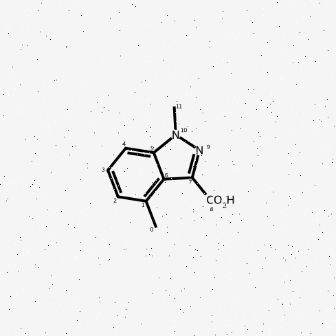 Cc1cccc2c1c(C(=O)O)nn2C